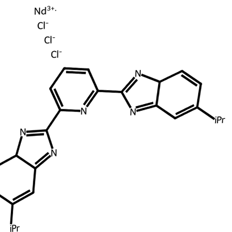 CC(C)C1=CC2=NC(c3cccc(C4=NC5C=CC(C(C)C)=CC5=N4)n3)=NC2C=C1.[Cl-].[Cl-].[Cl-].[Nd+3]